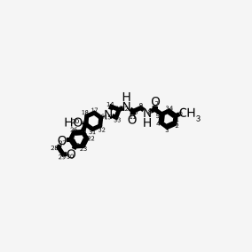 Cc1cccc(C(=O)NCC(=O)NC2CN([C@H]3CC[C@@](O)(c4ccc5c(c4)OCCO5)CC3)C2)c1